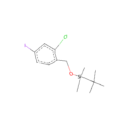 CC(C)(C)[Si](C)(C)OCc1ccc(I)cc1Cl